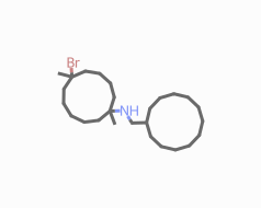 CC1(Br)CCCCCC(C)(NCC2CCCCCCCCCCC2)CCCC1